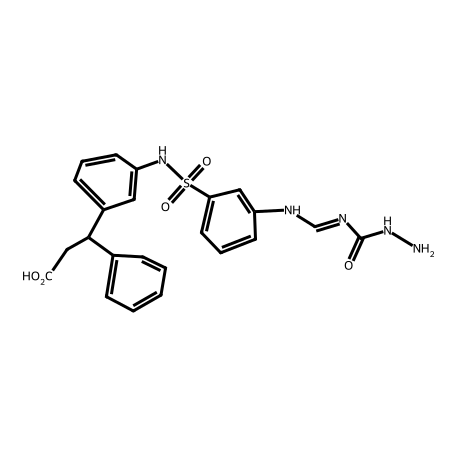 NNC(=O)N=CNc1cccc(S(=O)(=O)Nc2cccc(C(CC(=O)O)c3ccccc3)c2)c1